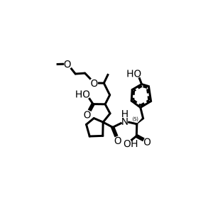 COCCOC(C)CC(CC1(C(=O)N[C@@H](Cc2ccc(O)cc2)C(=O)O)CCCC1)C(=O)O